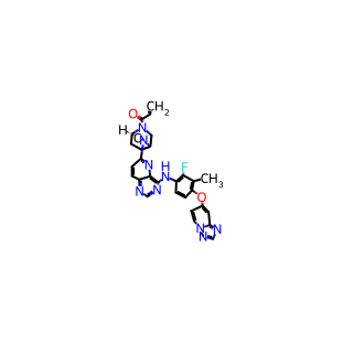 C=CC(=O)N1CC2CC[C@@H]1CN2c1ccc2ncnc(Nc3ccc(Oc4ccn5ncnc5c4)c(C)c3F)c2n1